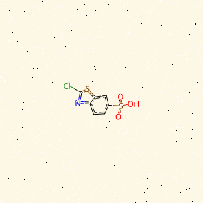 O=S(=O)(O)c1ccc2nc(Cl)sc2c1